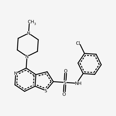 CN1CCN(c2nccc3sc(S(=O)(=O)Nc4cccc(Cl)c4)cc23)CC1